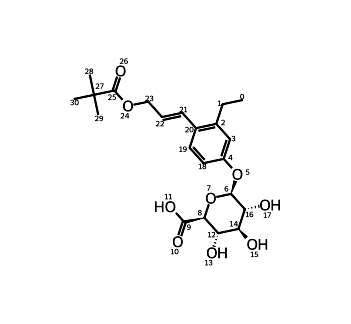 CCc1cc(O[C@@H]2O[C@H](C(=O)O)[C@@H](O)[C@H](O)[C@H]2O)ccc1/C=C/COC(=O)C(C)(C)C